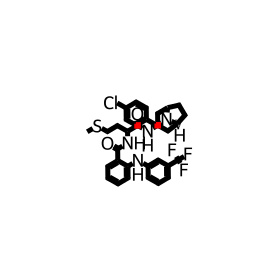 CSCCC(NC(=O)c1ccccc1Nc1cccc(C(F)(F)F)c1)C(=O)NC1CC2CC[C@@H](C1)N2Cc1ccc(Cl)cc1